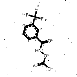 CC(=O)ONC(=O)c1cccc(C(F)(F)F)c1